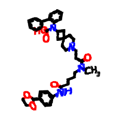 CN(CCCCC(=O)Nc1ccc(C2OCCO2)cc1)C(=O)CCN1CCC2(CC1)CC(N(C(=O)O)c1ccccc1-c1ccccc1)C2